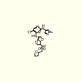 Cn1cc(Nc2ncc(Cl)c(N[C@@H]3COC4C3OC[C@@H]4NS(=O)(=O)CC3CCCO3)n2)cn1